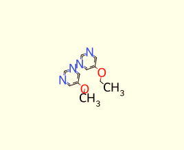 CCOc1cncnc1.COc1cncnc1